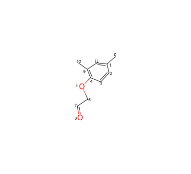 Cc1ccc(OCC=O)c(C)c1